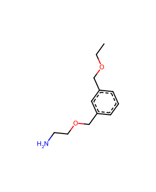 CCOCc1cccc(COCCN)c1